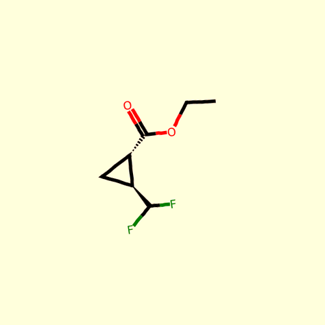 CCOC(=O)[C@H]1C[C@@H]1C(F)F